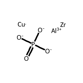 O=P([O-])([O-])[O-].[Al+3].[Cu].[Zr]